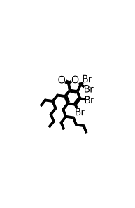 CCCCC(CC)Cc1c(Br)c(Br)c2c(c1CC(CC)CCCC)C(=O)OC2(Br)Br